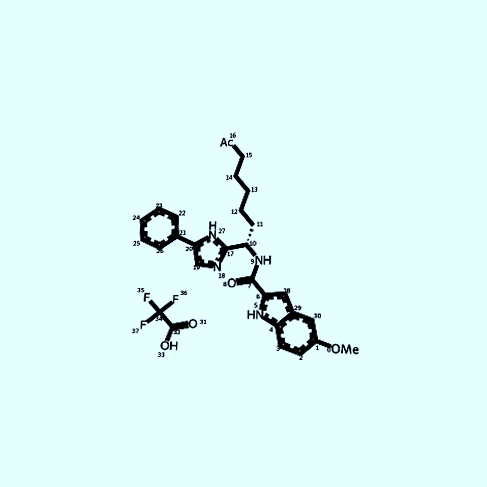 COc1ccc2[nH]c(C(=O)N[C@@H](CCCCCC(C)=O)c3ncc(-c4ccccc4)[nH]3)cc2c1.O=C(O)C(F)(F)F